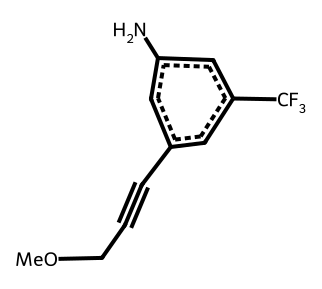 COCC#Cc1cc(N)cc(C(F)(F)F)c1